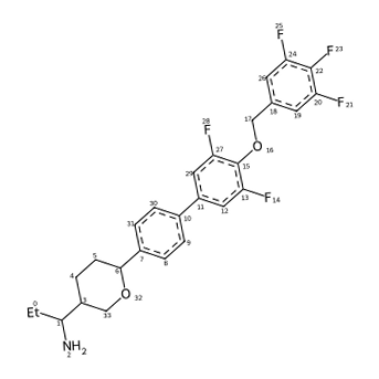 CCC(N)C1CCC(c2ccc(-c3cc(F)c(OCc4cc(F)c(F)c(F)c4)c(F)c3)cc2)OC1